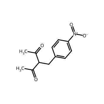 CC(=O)C(Cc1ccc([N+](=O)[O-])cc1)C(C)=O